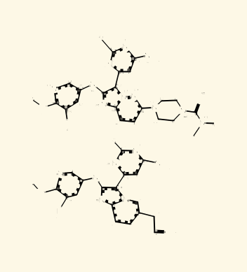 COc1ncc(Nc2nc3ccc(CC=O)cn3c2-c2cc(N)nc(C)n2)cc1F.COc1ncc(Nc2nc3ccc(N4CCN(C(=O)N(C)C)CC4)nn3c2-c2cc(N)nc(C)n2)cc1F